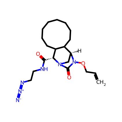 C=CCON1C(=O)N2C[C@H]1C1CCCCCCCCC1[C@H]2C(=O)NCCN=[N+]=[N-]